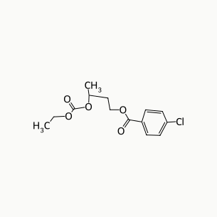 CCOC(=O)OC(C)CCOC(=O)c1ccc(Cl)cc1